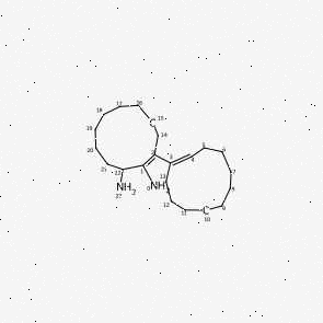 N/C1=C(\C2=C/CCCCCCCCC2)CCCCCCCCC1N